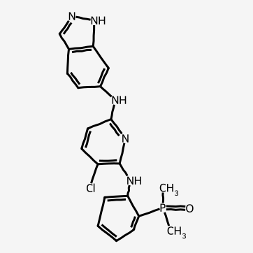 CP(C)(=O)c1ccccc1Nc1nc(Nc2ccc3cn[nH]c3c2)ccc1Cl